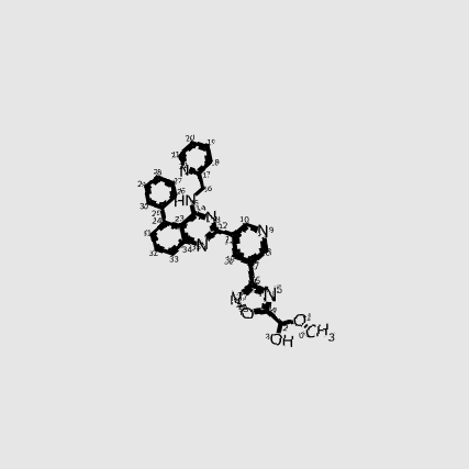 COC(O)c1nc(-c2cncc(-c3nc(NCc4ccccn4)c4c(-c5ccccc5)cccc4n3)c2)no1